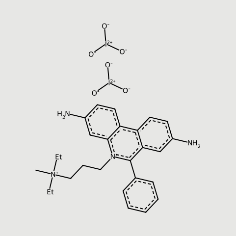 CC[N+](C)(CC)CCC[n+]1c(-c2ccccc2)c2cc(N)ccc2c2ccc(N)cc21.[O-][I+2]([O-])[O-].[O-][I+2]([O-])[O-]